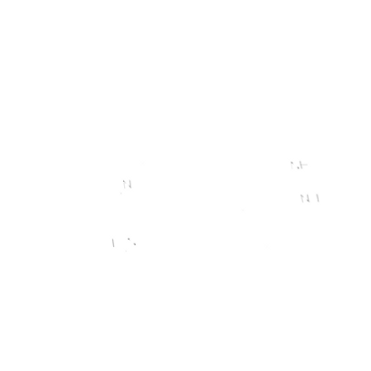 Nc1ccc2cc3cc(N)ccc3cc2c1.Nc1ccc2cc3ccc(N)cc3cc2c1